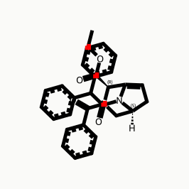 CCOC(=O)[C@H]1C2=CC[C@@H](CN1C(=O)c1ccccc1)N2C(=O)C(c1ccccc1)c1ccccc1